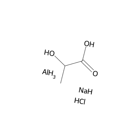 CC(O)C(=O)O.Cl.[AlH3].[NaH]